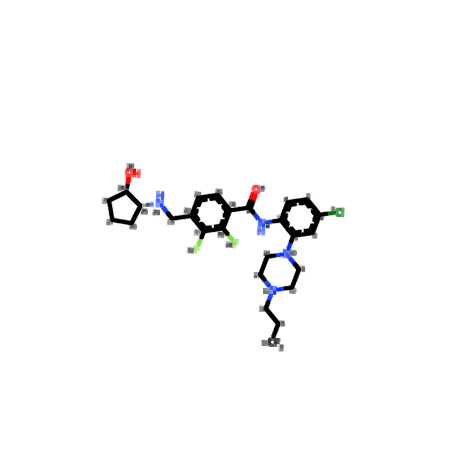 O=C(Nc1ccc(Cl)cc1N1CCN(CCC(F)(F)F)CC1)c1ccc(CN[C@@H]2CCC[C@H]2O)c(F)c1F